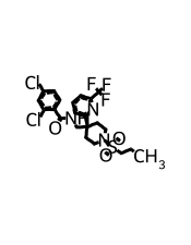 CCCS(=O)(=O)N1CCC(CNC(=O)c2ccc(Cl)cc2Cl)(c2cccc(C(F)(F)F)n2)CC1